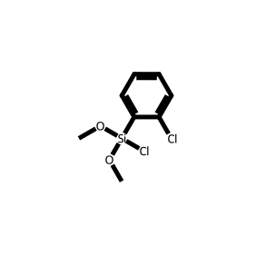 CO[Si](Cl)(OC)c1ccccc1Cl